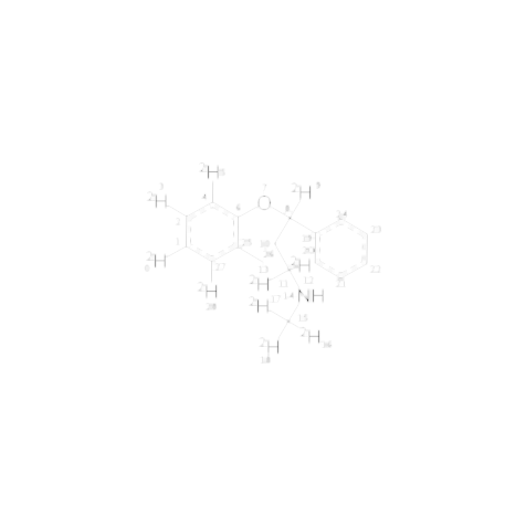 [2H]c1c([2H])c([2H])c(OC([2H])(CC([2H])([2H])NC([2H])([2H])[2H])c2ccccc2)c(C)c1[2H]